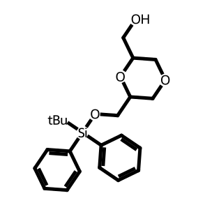 CC(C)(C)[Si](OCC1COCC(CO)O1)(c1ccccc1)c1ccccc1